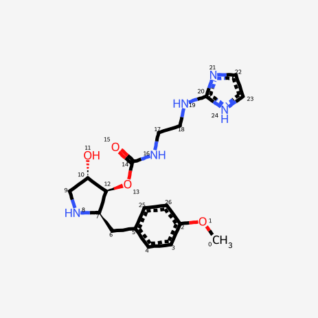 COc1ccc(C[C@H]2NC[C@H](O)[C@H]2OC(=O)NCCNc2ncc[nH]2)cc1